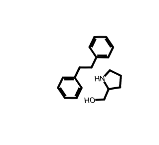 OCC1CCCN1.c1ccc(CCc2ccccc2)cc1